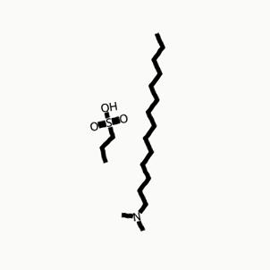 CCCCCCCCCCCCCCN(C)C.CCCS(=O)(=O)O